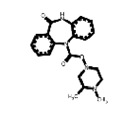 CC1CN(OC(=O)N2c3ccccc3NC(=O)c3ccccc32)CCN1C